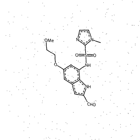 COCCOc1cc(NS(=O)(=O)c2nccn2C)c2[nH]c(C=O)cc2c1